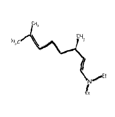 CCN(C=C[C@H](C)CCC=C(C)C)CC